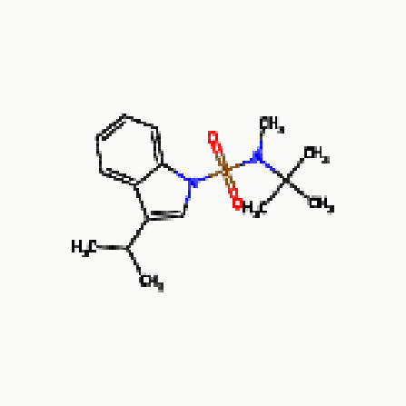 CC(C)c1cn(S(=O)(=O)N(C)C(C)(C)C)c2ccccc12